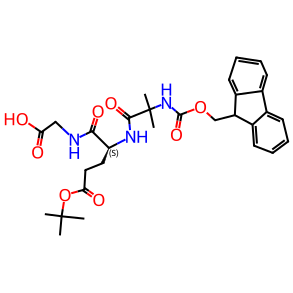 CC(C)(C)OC(=O)CC[C@H](NC(=O)C(C)(C)NC(=O)OCC1c2ccccc2-c2ccccc21)C(=O)NCC(=O)O